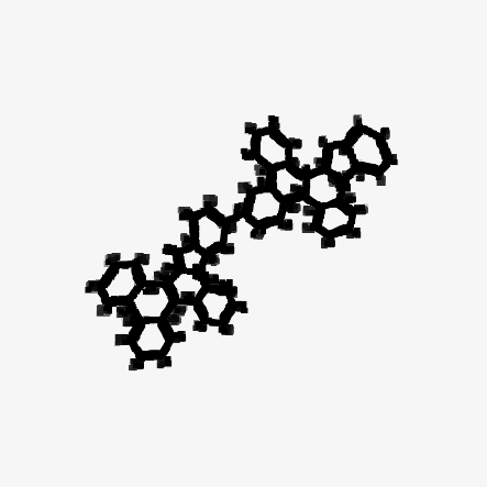 c1ccc2c(c1)cc1c3c4ccccc4c4cc(-c5ccc6cc7c8c9ccccc9c9ccccc9c8c8cccnc8n7c6c5)ccc4c3c3ccccc3n21